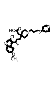 COc1ccc2ncc(Cl)c([C@H](F)CCC3(CC(=O)O)CCN(CCCSc4ccncc4)CC3)c2c1